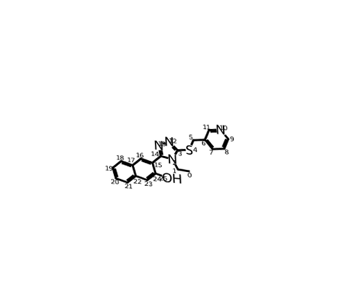 CCn1c(SCc2cccnc2)nnc1-c1cc2ccccc2cc1O